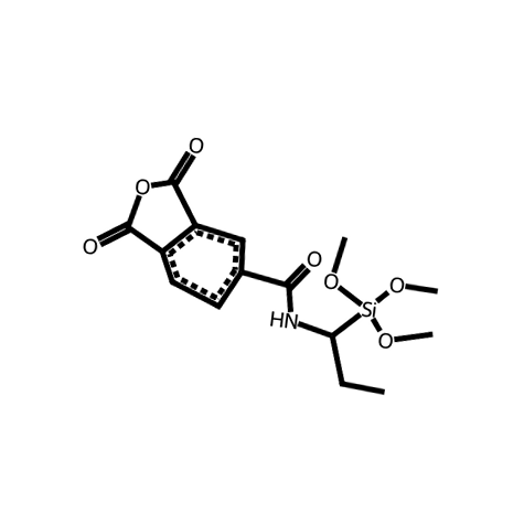 CCC(NC(=O)c1ccc2c(c1)C(=O)OC2=O)[Si](OC)(OC)OC